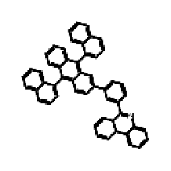 C1=CC2C(c3cccc(-c4ccc5c(-c6cccc7ccccc67)c6ccccc6c(-c6cccc7ccccc67)c5c4)c3)=Nc3ccccc3C2C=C1